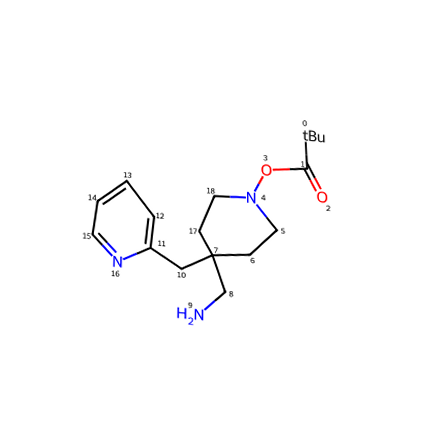 CC(C)(C)C(=O)ON1CCC(CN)(Cc2ccccn2)CC1